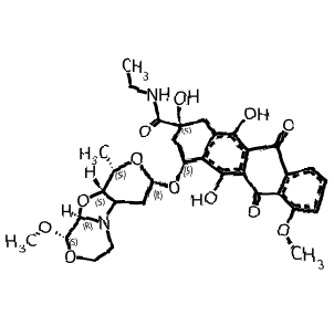 CCNC(=O)[C@]1(O)Cc2c(O)c3c(c(O)c2[C@@H](O[C@H]2CC4[C@H](O[C@@H]5[C@@H](OC)OCCN45)[C@H](C)O2)C1)C(=O)c1c(OC)cccc1C3=O